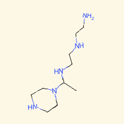 CC(NCCNCCN)N1CCNCC1